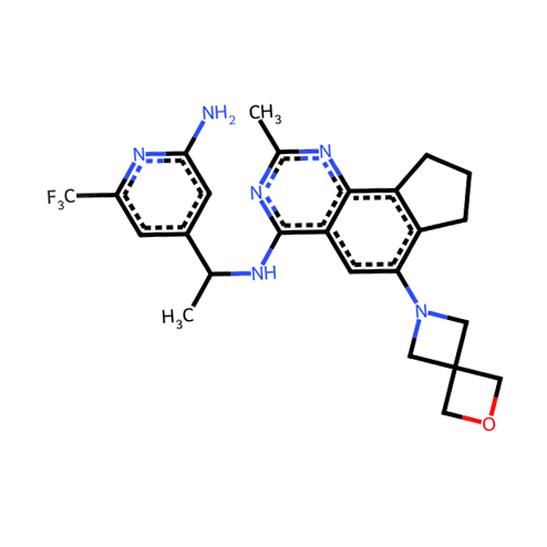 Cc1nc(NC(C)c2cc(N)nc(C(F)(F)F)c2)c2cc(N3CC4(COC4)C3)c3c(c2n1)CCC3